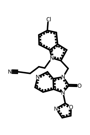 N#CCCCn1c(Cn2c(=O)n(-c3ncco3)c3ccncc32)cc2cc(Cl)ccc21